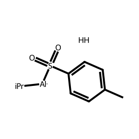 Cc1ccc([S](=O)(=O)[Al][CH](C)C)cc1.[HH]